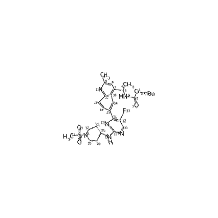 CCCCOC(=O)NC(C)c1cc(C)nc2ccc(-c3nc(NC4CCN(S(C)(=O)=O)CC4)ncc3F)cc12